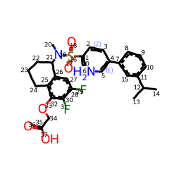 C=C(/C=C\C(=C/N)c1cccc(C(C)C)c1)S(=O)(=O)N(C)C1CCCc2c1cc(F)c(F)c2OCC(=O)O